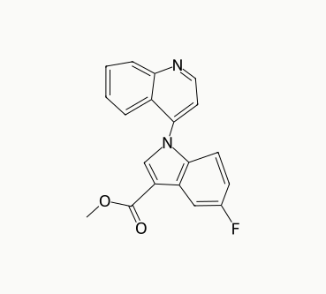 COC(=O)c1cn(-c2ccnc3ccccc23)c2ccc(F)cc12